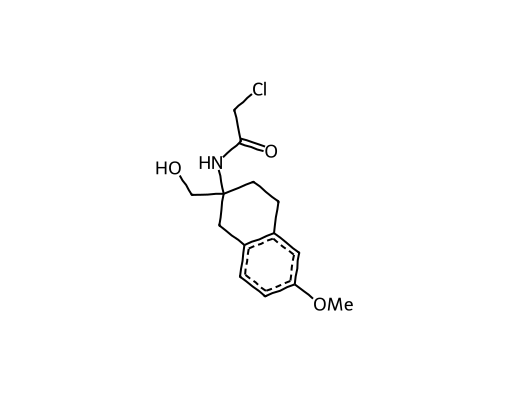 COc1ccc2c(c1)CCC(CO)(NC(=O)CCl)C2